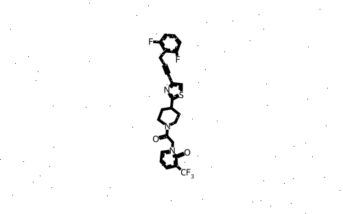 O=C(Cn1cccc(C(F)(F)F)c1=O)N1CCC(c2nc(C#CCc3c(F)cccc3F)cs2)CC1